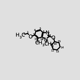 CCOc1ccc2nc(OC3CCCCC3)n(C)c2c1C